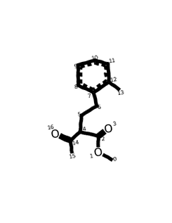 COC(=O)C(CCc1ccccc1C)C(C)=O